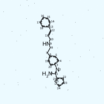 NC(=Nc1ccc(CCNCC=Cc2ccccc2)cc1)c1cccs1